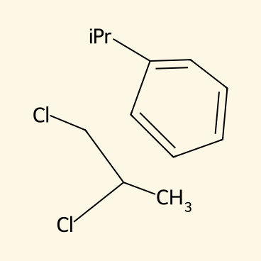 CC(C)c1ccccc1.CC(Cl)CCl